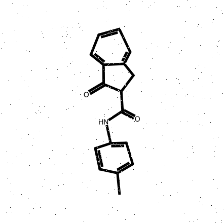 Cc1ccc(NC(=O)C2Cc3ccccc3C2=O)cc1